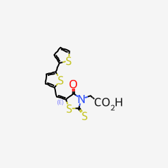 O=C(O)CN1C(=O)/C(=C\c2ccc(-c3cccs3)s2)SC1=S